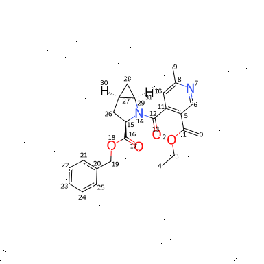 C=C(OCC)c1cnc(C)cc1C(=O)N1[C@@H](C(=O)OCc2ccccc2)C[C@H]2C[C@H]21